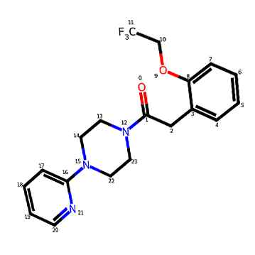 O=C(Cc1ccccc1OCC(F)(F)F)N1CCN(c2ccccn2)CC1